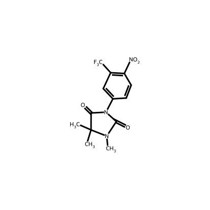 CN1C(=O)N(c2ccc([N+](=O)[O-])c(C(F)(F)F)c2)C(=O)C1(C)C